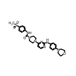 CS(=O)(=O)c1ccc(NC(=O)N2CCN(c3ccnc(Nc4ccc(N5CCOCC5)cc4)n3)CC2)cc1